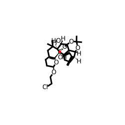 C=C1C(=O)[C@@]23[C@@H]4OC(C)(C)OC25OC[C@]2(C6=C(CC[C@H](OCCCl)O6)CC(C)(C)[C@H]2[C@@H]5O)[C@@H]3CC[C@@H]14